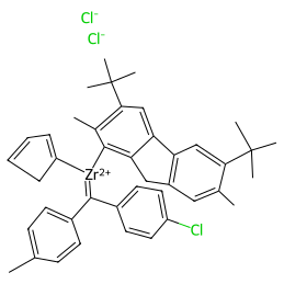 Cc1ccc(/[C](c2ccc(Cl)cc2)=[Zr+2](\[C]2=CC=CC2)[c]2c(C)c(C(C)(C)C)cc3c2Cc2cc(C)c(C(C)(C)C)cc2-3)cc1.[Cl-].[Cl-]